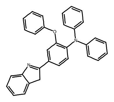 c1ccc(Oc2cc(C3=Nc4ccccc4C3)ccc2N(c2ccccc2)c2ccccc2)cc1